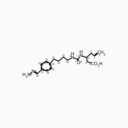 C=CCC(CC(=O)O)NC(=O)NCCCCc1ccc(C=NN)cc1